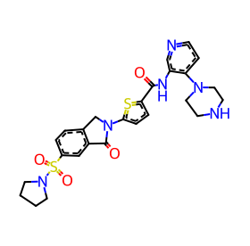 O=C(Nc1cnccc1N1CCNCC1)c1ccc(N2Cc3ccc(S(=O)(=O)N4CCCC4)cc3C2=O)s1